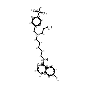 CS(=O)(=O)c1ccc(CN(CCO)CCCCCNc2ncnc3cc(F)ccc23)cc1